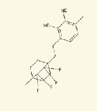 [C-]#[N+]c1c(C)ccc(CCC23CCC(C)(CC2)C(F)(F)C3(F)F)c1C#N